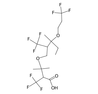 CCC(C)(OCCC(F)(F)F)C(COC(C)(C)C(C(=O)O)C(F)(F)F)C(F)(F)F